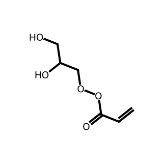 C=CC(=O)OOCC(O)CO